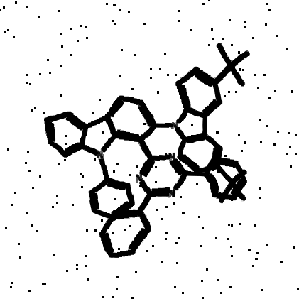 CC(C)(C)c1ccc2c(c1)c1cc(C(C)(C)C)ccc1n2-c1ccc2c3ccccc3n(-c3ccccc3)c2c1-c1nc(-c2ccccc2)nc(-c2ccccc2)n1